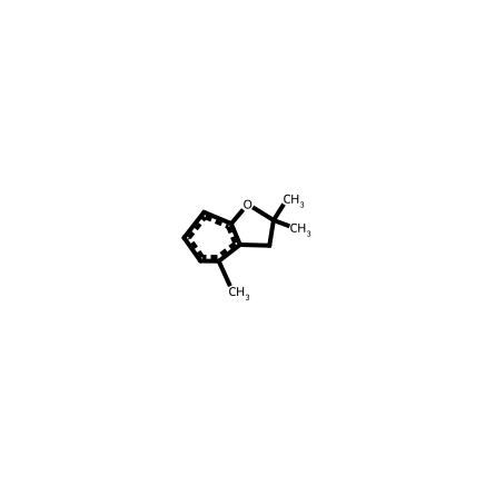 Cc1cccc2c1CC(C)(C)O2